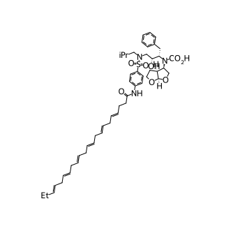 CCC=CCC=CCC=CCC=CCC=CCC=CCCC(=O)Nc1ccc(S(=O)(=O)N(CC(C)C)C[C@@H](O)[C@H](Cc2ccccc2)N(C(=O)O)[C@H]2CO[C@H]3OCC[C@H]32)cc1